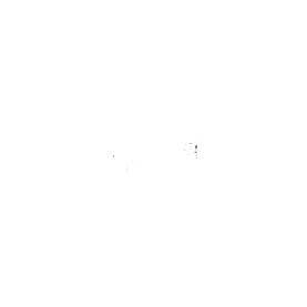 COCCC[SiH]1CCC(C2CCC(CCCCc3cc(F)c(F)c(F)c3)CC2)CC1